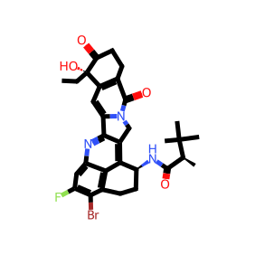 CC[C@@]1(O)C(=O)CCc2c1cc1n(c2=O)Cc2c-1nc1cc(F)c(Br)c3c1c2[C@@H](NC(=O)[C@H](C)C(C)(C)C)CC3